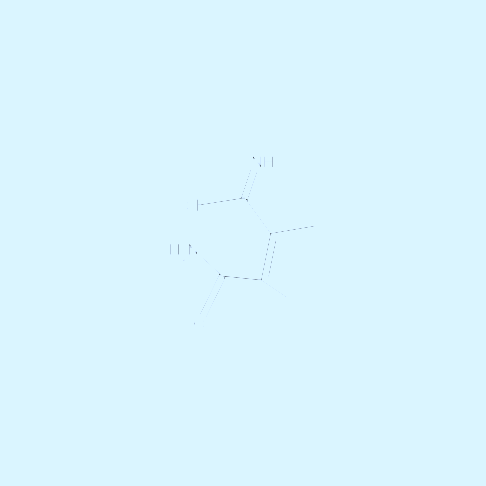 C/C(C(=N)Cl)=C(\C)C(N)=O